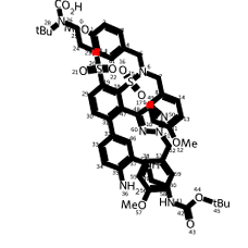 COc1ccc(CN(Cc2ccc(OC)cc2)S(=O)(=O)c2c(S(=O)(=O)NCCN(C(=O)O)C(C)(C)C)ccc(-c3ccc(N)c(NCCNC(=O)OC(C)(C)C)c3)c2-c2nnn(Cc3ccc(OC)cc3)n2)cc1